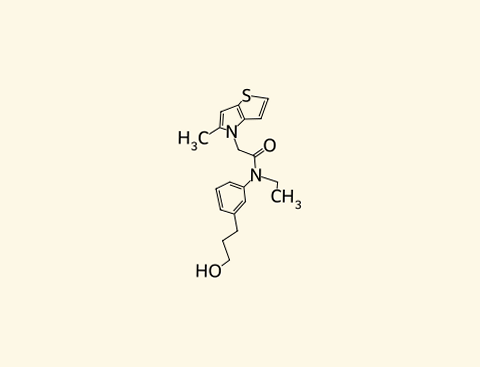 CCN(C(=O)Cn1c(C)cc2sccc21)c1cccc(CCCO)c1